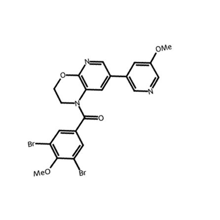 COc1cncc(-c2cnc3c(c2)N(C(=O)c2cc(Br)c(OC)c(Br)c2)CCO3)c1